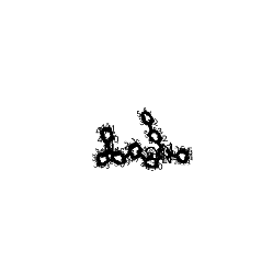 c1ccc(-c2ccc(-c3nc(-c4ccccc4)nc4c3oc3c(-c5cccc(-c6ccc7c8ccccc8n(-c8ccccc8)c7c6)c5)cccc34)cc2)cc1